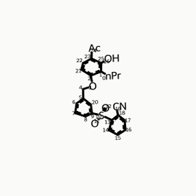 CCCc1c(OCc2cccc(S(=O)(=O)c3ccccc3C#N)c2)ccc(C(C)=O)c1O